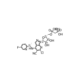 C[C@H](Nc1c(C#N)c(Cl)nc2c1cnn2[C@@H]1O[C@H](COP(=O)(O)CP(=O)(O)O)[C@@H](O)[C@H]1O)c1ccc(F)cn1